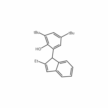 CCC1=Cc2ccccc2C1c1cc(C(C)(C)C)cc(C(C)(C)C)c1O